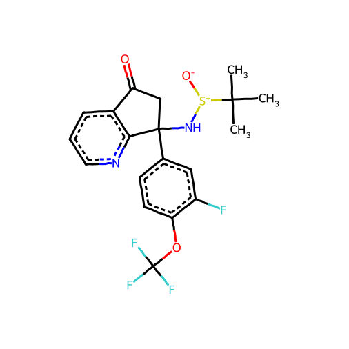 CC(C)(C)[S+]([O-])NC1(c2ccc(OC(F)(F)F)c(F)c2)CC(=O)c2cccnc21